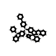 c1ccc(-c2ccc(N(c3ccc4c(c3)C3(c5ccccc5Oc5ccccc53)c3cc5ccccc5cc3-4)c3ccc4c5ccccc5n(-c5ccccc5)c4c3)cc2)cc1